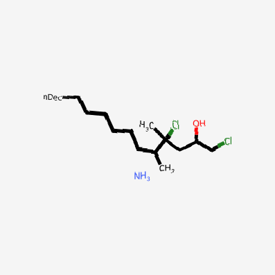 CCCCCCCCCCCCCCCCC(C)C(C)(Cl)CC(O)CCl.N